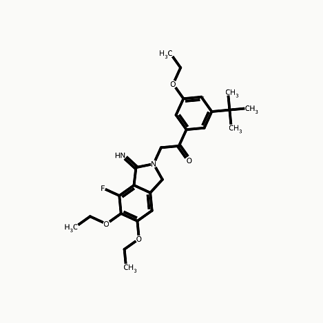 CCOc1[c]c(C(C)(C)C)cc(C(=O)CN2Cc3cc(OCC)c(OCC)c(F)c3C2=N)c1